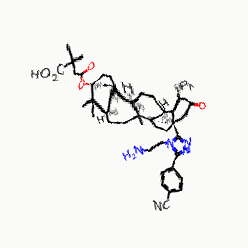 CC(C)C1=C2[C@H]3CC[C@@H]4[C@@]5(C)CC[C@H](OC(=O)CC(C)(C)C(=O)O)C(C)(C)[C@@H]5CC[C@@]4(C)[C@]3(C)CC[C@@]2(c2nnc(-c3ccc(C#N)cc3)n2CCN)CC1=O